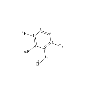 Fc1ccc(F)c(CCl)c1F